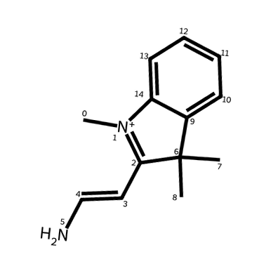 C[N+]1=C(/C=C/N)C(C)(C)c2ccccc21